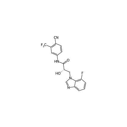 N#Cc1ccc(NC(=O)[C@@H](O)Cn2cnc3cccc(F)c32)cc1C(F)(F)F